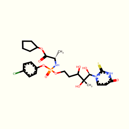 C[C@H](NP(=O)(OCCC(O)[C@@](C)(O)[C@@H](O)n1ccc(=O)[nH]c1=S)Oc1ccc(Cl)cc1)C(=O)OC1CCCC1